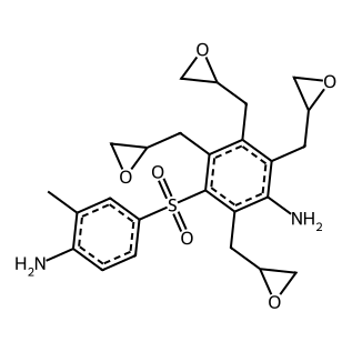 Cc1cc(S(=O)(=O)c2c(CC3CO3)c(N)c(CC3CO3)c(CC3CO3)c2CC2CO2)ccc1N